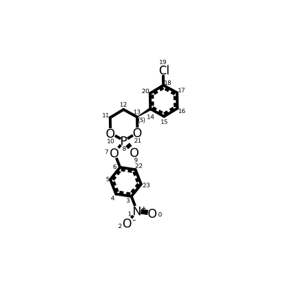 O=[N+]([O-])c1ccc(OP2(=O)OCC[C@@H](c3cccc(Cl)c3)O2)cc1